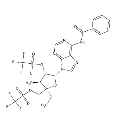 CC[C@@]1(COS(=O)(=O)C(F)(F)F)O[C@@H](n2cnc3c(NC(=O)c4ccccc4)ncnc32)[C@@H](OS(=O)(=O)C(F)(F)F)[C@@H]1C